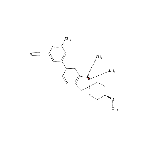 CO[C@H]1CC[C@]2(CC1)Cc1ccc(-c3cc(C)cc(C#N)c3)cc1C21N=C(C)C(N)=N1